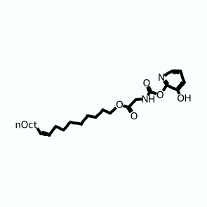 CCCCCCCC/C=C\CCCCCCCCOC(=O)CNC(=O)Oc1ncccc1O